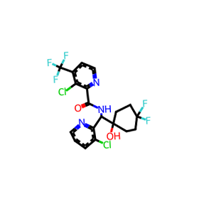 O=C(NC(c1ncccc1Cl)C1(O)CCC(F)(F)CC1)c1nccc(C(F)(F)F)c1Cl